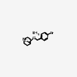 B.Brc1ccc(COC2CN3CCC2CC3)cc1